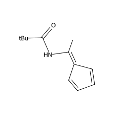 CC(NC(=O)C(C)(C)C)=C1C=CC=C1